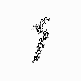 CC(C)Oc1ccc(C2NNc3ccc(N4CCC5(CCN(CC(=O)N6CC=C(c7ccc(-c8ncn(C)n8)cc7)CC6)C5)C4)cc32)cn1